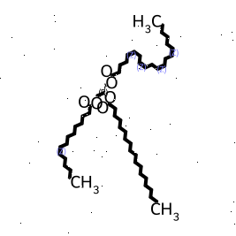 CCCCC/C=C\C/C=C\C/C=C\C/C=C\CCCC(=O)OC[C@@H](COC(=O)CCCCCCC/C=C\CCCCC)OC(=O)CCCCCCCCCCCCCCCCCC